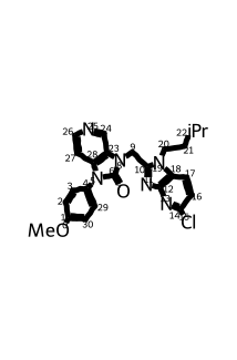 COc1ccc(-n2c(=O)n(Cc3nc4nc(Cl)ccc4n3CCC(C)C)c3cnccc32)cc1